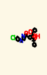 CN(c1ccc(Cl)cc1)c1ccc(C(=O)c2ccc(C(=O)C(C)(C)c3ccccc3)c(C(O)C(=O)c3ccccc3)c2)nc1